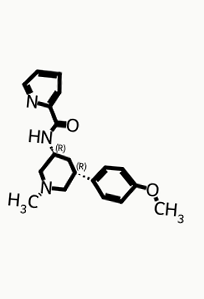 COc1ccc([C@H]2C[C@@H](NC(=O)c3ccccn3)CN(C)C2)cc1